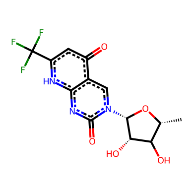 C[C@H]1O[C@@H](n2cc3c(=O)cc(C(F)(F)F)[nH]c3nc2=O)[C@@H](O)C1O